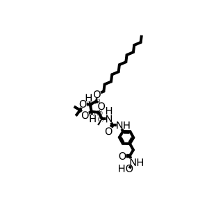 CCCCCCCCCCCCO[C@H]1O[C@H]([C@H](C)NC(=O)Nc2ccc(CC(=O)NO)cc2)[C@@H]2OC(C)(C)O[C@H]12